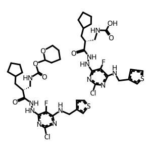 O=C(NC[C@@H](CC1CCCC1)C(=O)NNc1nc(Cl)nc(NCc2ccsc2)c1F)OC1CCCCO1.O=C(O)NC[C@@H](CC1CCCC1)C(=O)NNc1nc(Cl)nc(NCc2ccsc2)c1F